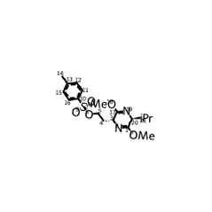 COC1=N[C@H](CCOS(=O)(=O)c2ccc(C)cc2)C(OC)=N[C@H]1C(C)C